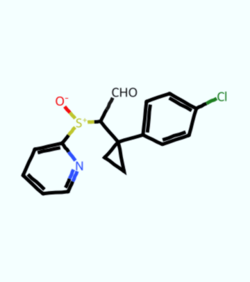 O=CC([S+]([O-])c1ccccn1)C1(c2ccc(Cl)cc2)CC1